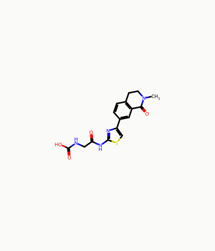 CN1CCc2ccc(-c3csc(NC(=O)CNC(=O)O)n3)cc2C1=O